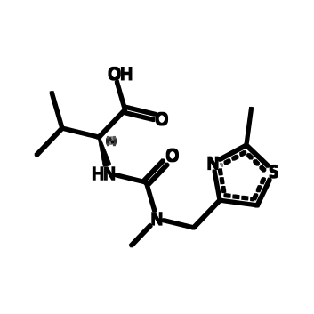 Cc1nc(CN(C)C(=O)N[C@H](C(=O)O)C(C)C)cs1